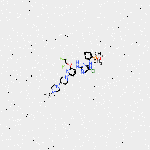 CN1CCN(C2CCN(c3ccc(Nc4ncc(Cl)c(Nc5ccccc5P(C)(C)=O)n4)c(OC(F)C(F)F)n3)CC2)CC1